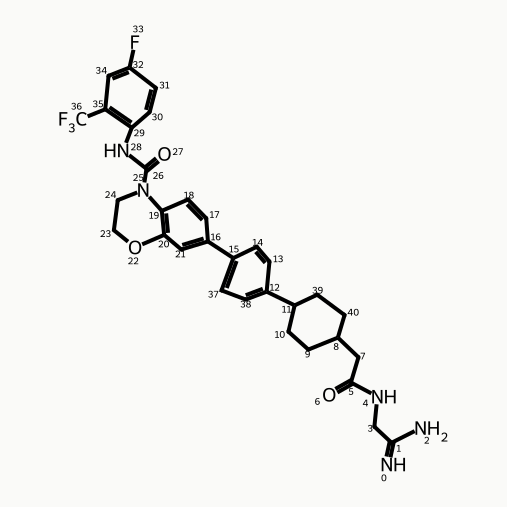 N=C(N)CNC(=O)CC1CCC(c2ccc(-c3ccc4c(c3)OCCN4C(=O)Nc3ccc(F)cc3C(F)(F)F)cc2)CC1